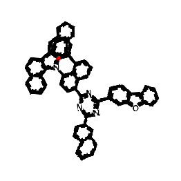 c1ccc(-c2cccc3c(-c4nc(-c5ccc6ccccc6c5)nc(-c5ccc6c(c5)oc5ccccc56)n4)ccc(-n4c5cc6ccccc6cc5c5ccc6ccccc6c54)c23)cc1